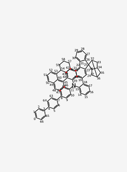 c1ccc(-c2ccc(-c3ccc(N(c4ccccc4-c4ccc5c(c4)C4(c6ccccc6-5)C5CC6CC5CC64)c4ccccc4-c4cccc5cccc(C6CCCCC6)c45)cc3)cc2)cc1